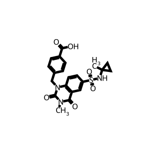 Cn1c(=O)c2cc(S(=O)(=O)NC3(C)CC3)ccc2n(Cc2ccc(C(=O)O)cc2)c1=O